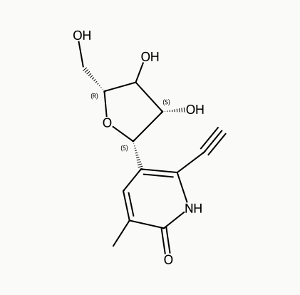 C#Cc1[nH]c(=O)c(C)cc1[C@@H]1O[C@H](CO)C(O)[C@@H]1O